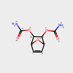 NC(=O)OC1C2C=CC(O2)C1OC(N)=O